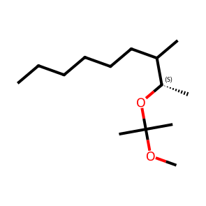 CCCCCCC(C)[C@H](C)OC(C)(C)OC